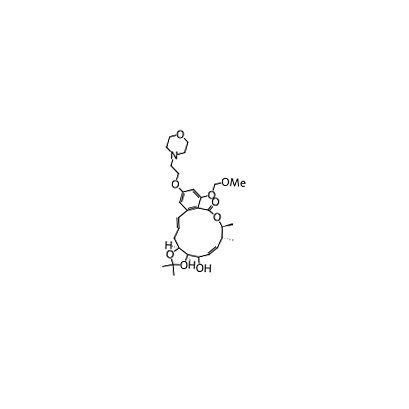 COCOc1cc(OCCN2CCOCC2)cc2c1C(=O)O[C@@H](C)[C@H](C)/C=C\C(O)[C@H]1OC(C)(C)O[C@H]1C/C=C/2